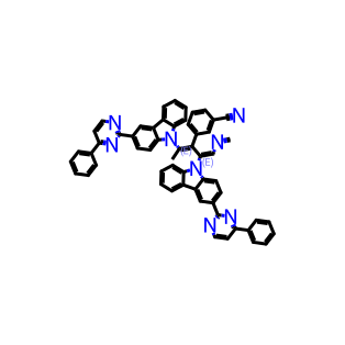 C=N/C=C(\C(=C(/C)n1c2ccccc2c2cc(-c3nccc(-c4ccccc4)n3)ccc21)c1cccc(C#N)c1)n1c2ccccc2c2cc(-c3nccc(-c4ccccc4)n3)ccc21